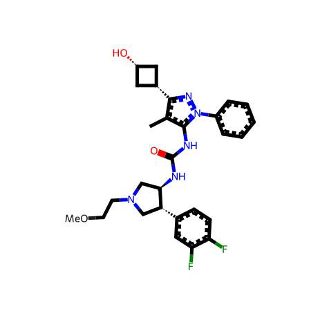 COCCN1C[C@@H](NC(=O)Nc2c(C)c([C@H]3C[C@@H](O)C3)nn2-c2ccccc2)[C@H](c2ccc(F)c(F)c2)C1